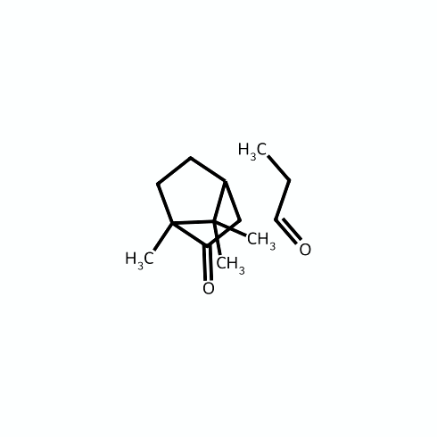 CC12CCC(CC1=O)C2(C)C.CCC=O